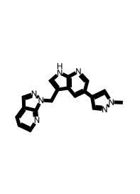 Cn1cc(-c2cnc3[nH]cc(Cn4ncc5cccnc54)c3c2)cn1